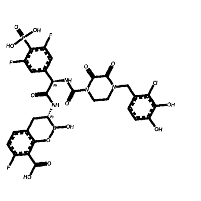 O=C(O)c1c(F)ccc2c1OB(O)[C@@H](NC(=O)[C@H](NC(=O)N1CCN(Cc3ccc(O)c(O)c3Cl)C(=O)C1=O)c1cc(F)c(P(=O)(O)O)c(F)c1)C2